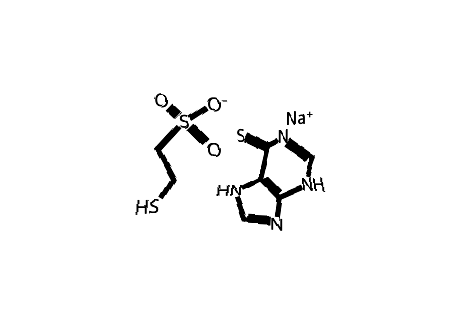 O=S(=O)([O-])CCS.S=c1nc[nH]c2nc[nH]c12.[Na+]